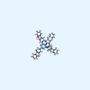 c1ccc2cc3c(cc2c1)c1ccccc1n3-c1cc2c(cc1-c1nc(-c3ccc4c(c3)oc3ccccc34)nc(-c3ccc4c(c3)sc3ccccc34)n1)oc1ccccc12